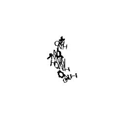 CC(=O)N[C@@H]1CCC[C@H](C(=O)Nc2ncc3cc(CNC(=O)OC(C)(C)C)nc(NC(C)C)c3n2)C1